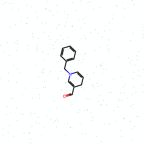 O=CC1=CN(Cc2ccccc2)C=CC1